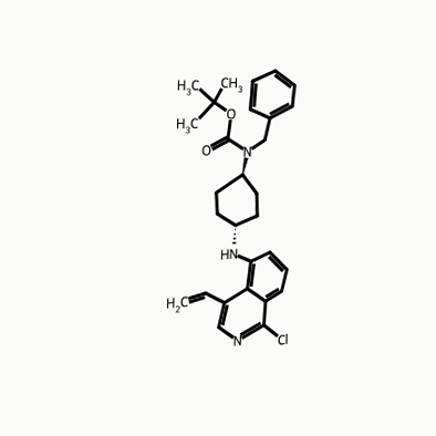 C=Cc1cnc(Cl)c2cccc(N[C@H]3CC[C@H](N(Cc4ccccc4)C(=O)OC(C)(C)C)CC3)c12